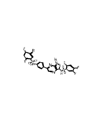 O=S(=O)(Nc1ccc(-c2cnc3c(NS(=O)(=O)c4cc(F)c(F)cc4F)n[nH]c3n2)cc1)c1cc(F)c(F)cc1F